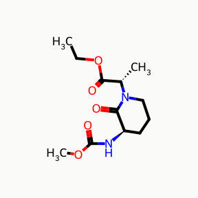 CCOC(=O)[C@H](C)N1CCC[C@@H](NC(=O)OC)C1=O